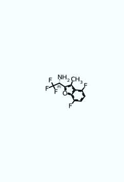 Cc1c([C@@H](N)C(F)(F)F)oc2c(F)ccc(F)c12